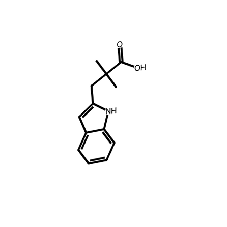 CC(C)(Cc1cc2ccccc2[nH]1)C(=O)O